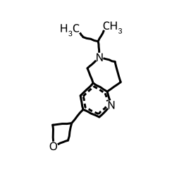 CCC(C)N1CCc2ncc(C3COC3)cc2C1